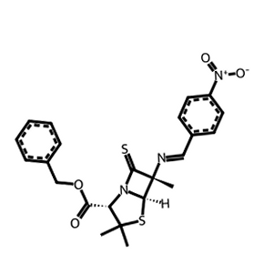 CC1(C)S[C@H]2N(C(=S)[C@]2(C)N=Cc2ccc([N+](=O)[O-])cc2)[C@H]1C(=O)OCc1ccccc1